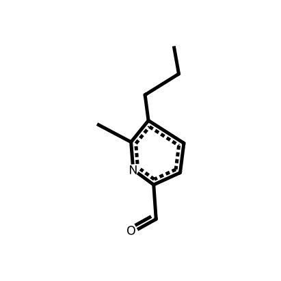 CCCc1ccc(C=O)nc1C